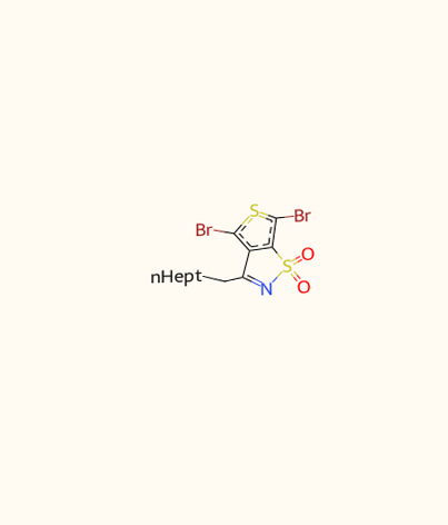 CCCCCCCCC1=NS(=O)(=O)c2c(Br)sc(Br)c21